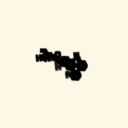 CCC(O)CNC(=O)Nc1ccc2nc(-c3ccccc3C#N)c(-c3ccccc3F)cc2c1